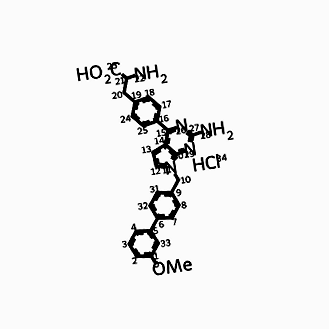 COc1cccc(-c2ccc(Cn3ccc4c(-c5ccc(CC(N)C(=O)O)cc5)nc(N)nc43)cc2)c1.Cl